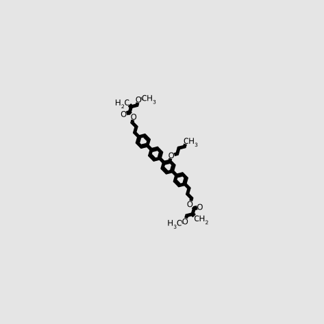 C=C(COC)C(=O)OCCCc1ccc(-c2ccc(-c3ccc(-c4ccc(CCCOC(=O)C(=C)COC)cc4)cc3OCCCC)cc2)cc1